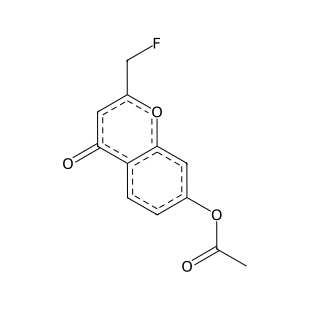 CC(=O)Oc1ccc2c(=O)cc(CF)oc2c1